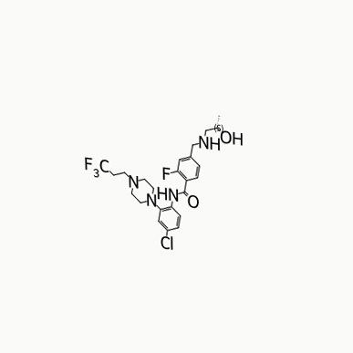 C[C@H](O)CNCc1ccc(C(=O)Nc2ccc(Cl)cc2N2CCN(CCC(F)(F)F)CC2)c(F)c1